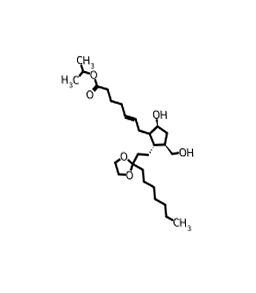 CCCCCCCC1(CC[C@@H]2C(CC=CCCCC(=O)OC(C)C)[C@@H](O)C[C@H]2CO)OCCO1